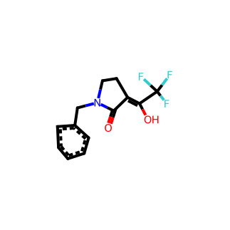 O=C1C(=C(O)C(F)(F)F)CCN1Cc1ccccc1